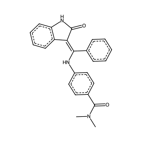 CN(C)C(=O)c1ccc(NC(=C2C(=O)Nc3ccccc32)c2ccccc2)cc1